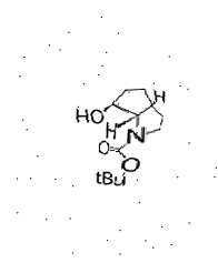 CC(C)(C)OC(=O)N1CC[C@H]2CC[C@H](O)[C@H]21